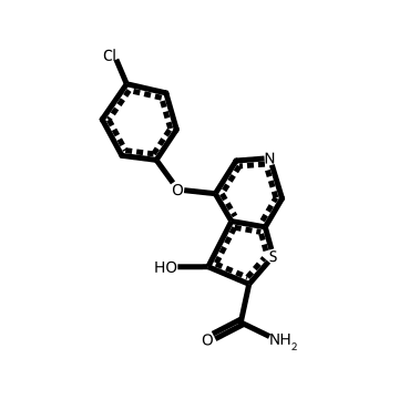 NC(=O)c1sc2cncc(Oc3ccc(Cl)cc3)c2c1O